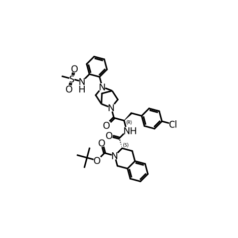 CC(C)(C)OC(=O)N1Cc2ccccc2C[C@H]1C(=O)N[C@H](Cc1ccc(Cl)cc1)C(=O)N1CC2CC1CN2c1ccccc1NS(C)(=O)=O